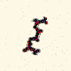 Cc1cccc(N(c2ccccc2)c2ccc(-c3ccc(N(c4ccc(-c5cccc(-c6ccc(N(c7ccccc7)c7ccc(-c8ccc(N(c9ccccc9)c9ccc(-c%10cccc(-c%11ccc%12c(c%11)C(C)(C)c%11cc(N(c%13ccc(-c%14ccccc%14)cc%13)c%13ccc(-c%14ccc%15c(c%14)c%14ccccc%14n%15-c%14ccccc%14)cc%13)ccc%11-%12)c%10)cc9)cc8)cc7)cc6)c5)cc4)c4cccc(C)c4)cc3)cc2)c1